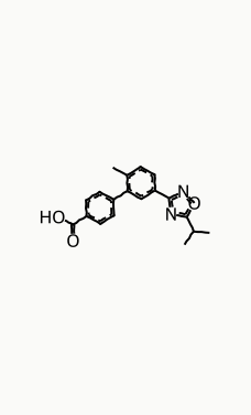 Cc1ccc(-c2noc(C(C)C)n2)cc1-c1ccc(C(=O)O)cc1